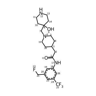 O=C(CC1CCN(CC2(O)CCNCC2)CC1)Nc1cc(CF)cc(C(F)(F)F)c1